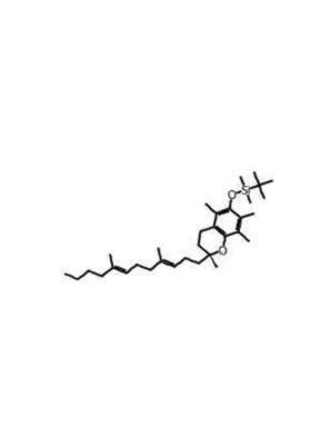 CCCC/C(C)=C/CC/C(C)=C/CC[C@]1(C)CCc2c(C)c(O[Si](C)(C)C(C)(C)C)c(C)c(C)c2O1